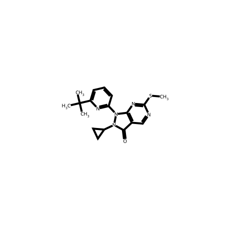 CSc1ncc2c(=O)n(C3CC3)n(-c3cccc(C(C)(C)C)n3)c2n1